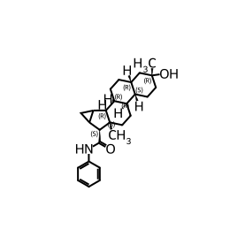 C[C@@]1(O)CC[C@H]2[C@H](CC[C@@H]3[C@@H]2CC[C@]2(C)[C@@H](C(=O)Nc4ccccc4)C4CC4[C@@H]32)C1